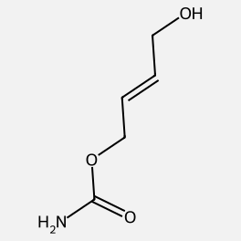 NC(=O)OCC=CCO